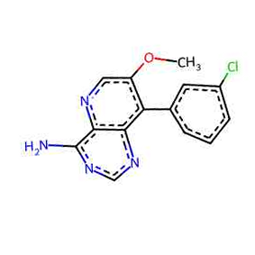 COc1cnc2c(N)ncnc2c1-c1cccc(Cl)c1